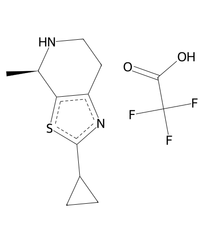 C[C@H]1NCCc2nc(C3CC3)sc21.O=C(O)C(F)(F)F